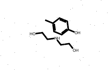 Cc1ccc(O)cc1.OCCNCCO